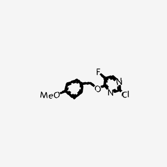 COc1ccc(COc2nc(Cl)ncc2F)cc1